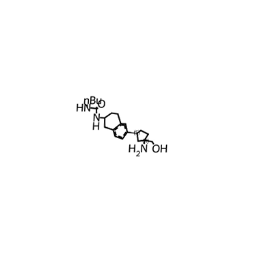 CCCCNC(=O)NC1CCc2cc([C@H]3CC[C@](N)(CO)C3)ccc2C1